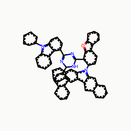 c1ccc(-n2c3ccccc3c3c(C4=NC(c5ccc6ccccc6c5)NC(c5c(-n6c7cc8ccccc8cc7c7cc8ccccc8cc76)ccc6c5oc5ccccc56)=N4)cccc32)cc1